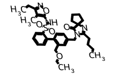 CCCCC1=NC2(CCCC2)C(=O)N1Cc1ccc(-c2ccccc2S(=O)(=O)Nc2onc(CC)c2C)c(COCC)c1